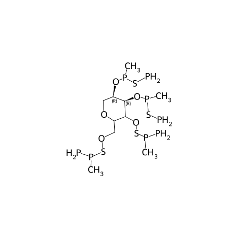 CP(P)SOCC1OC[C@@H](OP(C)SP)[C@@H](OP(C)SP)C1OSP(C)P